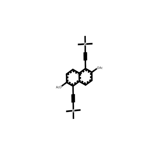 CC(=O)Oc1ccc2c(C#C[Si](C)(C)C)c(OC(C)=O)ccc2c1C#C[Si](C)(C)C